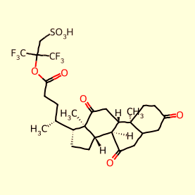 C[C@H](CCC(=O)OC(CS(=O)(=O)O)(C(F)(F)F)C(F)(F)F)[C@H]1CC[C@H]2[C@@H]3C(=O)CC4CC(=O)CC[C@]4(C)[C@H]3CC(=O)[C@]12C